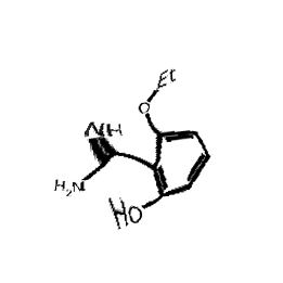 CCOc1cccc(O)c1C(=N)N